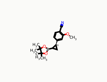 COc1cc([C@H]2CC2B2OC(C)(C)C(C)(C)O2)ccc1C#N